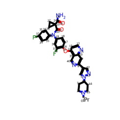 CC(C)N1CCC(n2cc(-c3cc4nccc(Oc5ccc(N(C(=O)C6(C(N)=O)CC6)c6ccc(F)cc6)cc5F)c4cn3)cn2)CC1